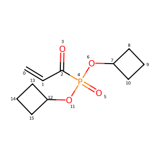 C=CC(=O)P(=O)(OC1CCC1)OC1CCC1